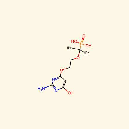 CC(C)C(OCCOc1cc(O)nc(N)n1)(C(C)C)P(=O)(O)O